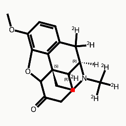 [2H]C1([2H])c2ccc(OC)c3c2[C@]24CCN(C([2H])([2H])[2H])[C@H]1[C@]2([2H])CCC(=O)C4O3